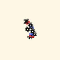 CC(C)(C)OC(=O)NC1(c2ccc(-c3nc4ccc(B5OC(C)(C)C(C)(C)O5)cn4c3-c3ccccc3)cc2)CCC1